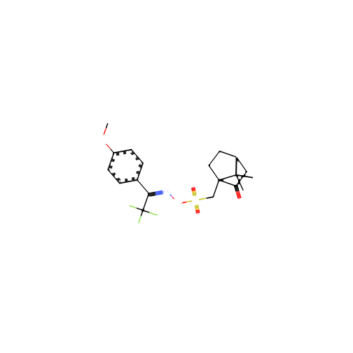 COc1ccc(/C(=N/OS(=O)(=O)CC23CCC(CC2=O)C3(C)C)C(F)(F)F)cc1